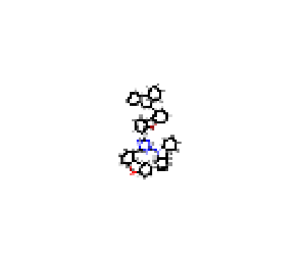 c1ccc2c(c1)CC(c1cccc3oc4c(-c5nc(-c6cccc7oc8ccccc8c67)nc(-n6c7ccccc7c7ccccc76)n5)cccc4c13)c1ccccc1-2